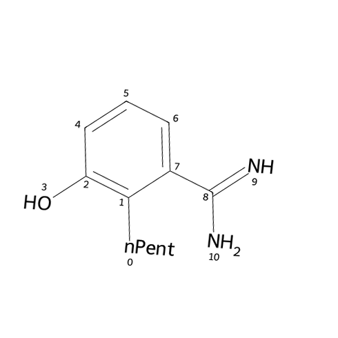 CCCCCc1c(O)cccc1C(=N)N